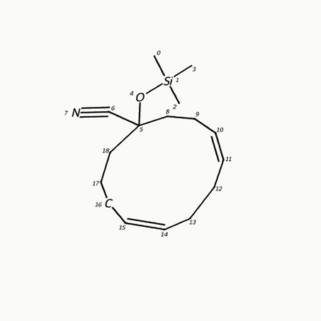 C[Si](C)(C)OC1(C#N)CCC=CCCC=CCCC1